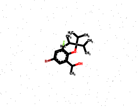 CC(O)c1cc(Br)cc(F)c1O[Si](C(C)C)(C(C)C)C(C)C